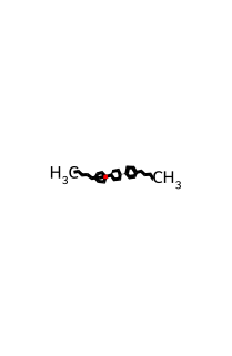 CCCCCc1ccc([C@H]2CC[C@H](C34CCC(CCCCC)(CC3)CC4)CC2)cc1